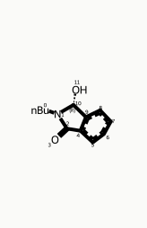 CCCCN1C(=O)c2ccccc2[C@H]1O